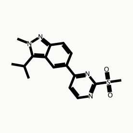 CC(C)c1c2cc(-c3ccnc(S(C)(=O)=O)n3)ccc2nn1C